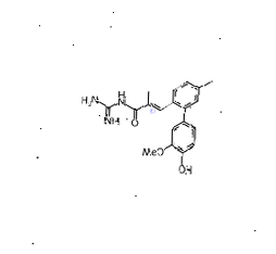 COc1cc(-c2cc(C)ccc2/C=C(\C)C(=O)NC(=N)N)ccc1O